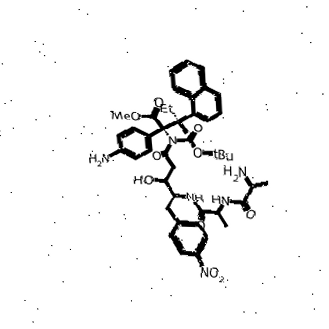 CC[C@@](C)(c1cccc2ccccc12)[C@](C(=O)OC)(c1ccc(N)cc1)N(C(=O)CC(O)[C@H](Cc1ccc([N+](=O)[O-])cc1)NC(=O)C(C)NC(=O)C(C)N)C(=O)OC(C)(C)C